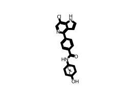 O=C(NC12CCC(O)(CC1)CC2)c1ccc(-c2ncc(Cl)c3[nH]ccc23)cc1